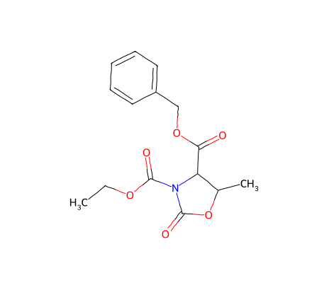 CCOC(=O)N1C(=O)OC(C)C1C(=O)OCc1ccccc1